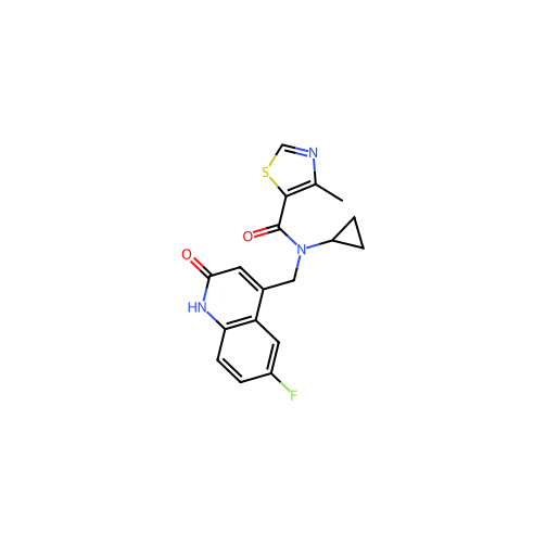 Cc1ncsc1C(=O)N(Cc1cc(=O)[nH]c2ccc(F)cc12)C1CC1